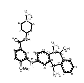 COc1ccc(C(=O)NC2CCN(C)CC2)cc1Nc1ncc2c(n1)N(C)c1ccccc1C(O)N2C